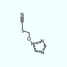 N#CSCOn1cncn1